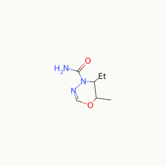 CCC1C(C)OC=NN1C(N)=O